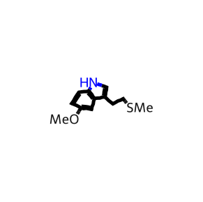 COc1ccc2[nH]cc(CCSC)c2c1